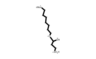 CCCCCCCCCCCCCCCCOC(O)CCS(=O)(=O)O